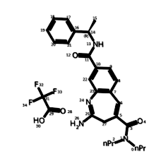 CCCN(CCC)C(=O)C1=Cc2ccc(C(=O)N[C@H](C)c3ccccc3)cc2N=C(N)C1.O=C(O)C(F)(F)F